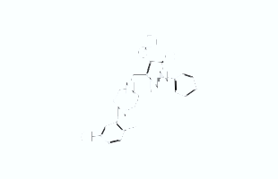 CCOc1c(CN2CCN(c3cc(Cl)ccc3C)CC2)n(C)n(-c2ccccc2)c1=O